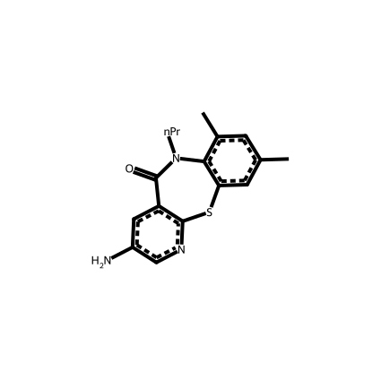 CCCN1C(=O)c2cc(N)cnc2Sc2cc(C)cc(C)c21